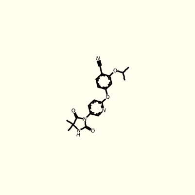 CC(C)Oc1cc(Oc2ccc(N3C(=O)NC(C)(C)C3=O)cn2)ccc1C#N